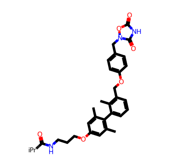 Cc1cc(OCCCNC(=O)C(C)C)cc(C)c1-c1cccc(COc2ccc(Cn3oc(=O)[nH]c3=O)cc2)c1C